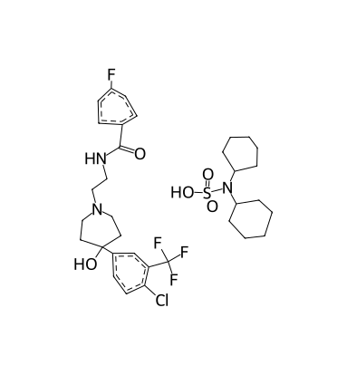 O=C(NCCN1CCC(O)(c2ccc(Cl)c(C(F)(F)F)c2)CC1)c1ccc(F)cc1.O=S(=O)(O)N(C1CCCCC1)C1CCCCC1